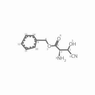 N#CC(O)[C@@H](N)C(=O)OCc1ccccc1